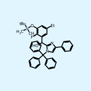 CCc1cc(O[Si](C)(C)C(C)(C)C)c(F)c(C(O)c2nc(-c3ccccc3)cn2C(c2ccccc2)(c2ccccc2)c2ccccc2)c1